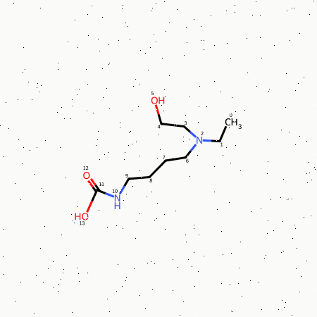 CCN(CCO)CCCCNC(=O)O